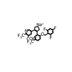 O=C([O-])c1cc(C2=C(c3cc(C(F)(F)F)ccc3OCc3c(F)cc(F)cc3F)CCC2)cnc1C(F)(F)F.[Na+]